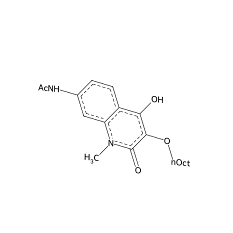 CCCCCCCCOc1c(O)c2ccc(NC(C)=O)cc2n(C)c1=O